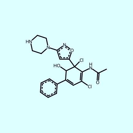 CC(=O)NC1=C(Cl)C=C(c2ccccc2)C(O)C1(Cl)c1cc(N2CCNCC2)no1